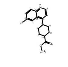 COC(=O)C1CCC(c2ccnc3ccc(F)cc23)CC1